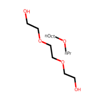 CCCCCCCCOCCC.OCCOCCOCCO